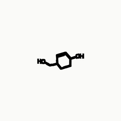 OCC1C=CC(O)CC1